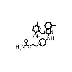 Cc1ccc(O)c(Cn2c(NC3CCN(CCOC(N)=O)CC3)nc3c(C)cccc32)n1